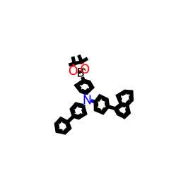 CC1(C)OB(c2ccc(N(c3ccc(-c4ccccc4)cc3)c3ccc(-c4cccc5ccccc45)cc3)cc2)OC1(C)C